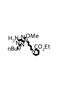 CCCCOc1nc(N)c2nc(OC)n(CCCCN3CCCCC3C(=O)OCC)c2n1